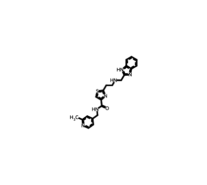 Cc1cc(CNC(=O)c2csc(CCNCc3nc4ccccc4[nH]3)n2)ccn1